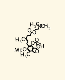 CCC(=O)Oc1c(C/C=C(\C)CCC(=O)OCCN(C)C)c(OC)c(C)c2c1C(O)OC2